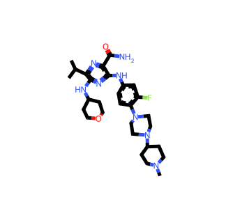 CC(C)c1nc(C(N)=O)c(Nc2ccc(N3CCN(C4CCN(C)CC4)CC3)c(F)c2)nc1NC1CCOCC1